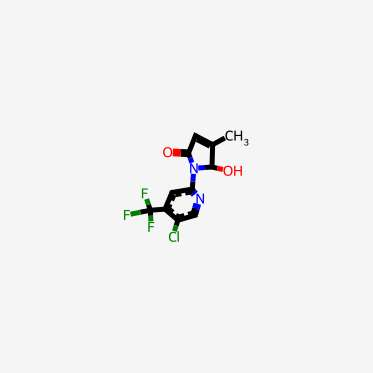 CC1=CC(=O)N(c2cc(C(F)(F)F)c(Cl)cn2)C1O